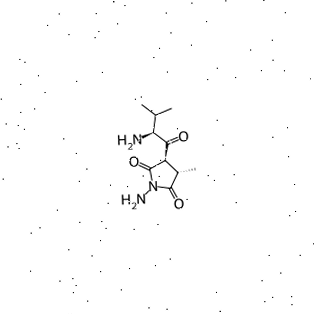 CC(C)[C@H](N)C(=O)[C@@H]1C(=O)N(N)C(=O)[C@H]1C